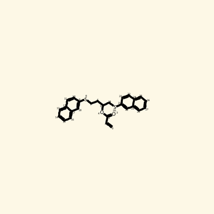 C=CC(=O)OC(CCSc1ccc2ccccc2c1)CSc1ccc2ccccc2c1